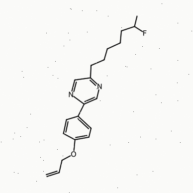 C=CCOc1ccc(-c2cnc(CCCCCC(C)F)cn2)cc1